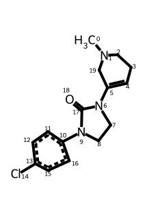 CN1CCC=C(N2CCN(c3ccc(Cl)cc3)C2=O)C1